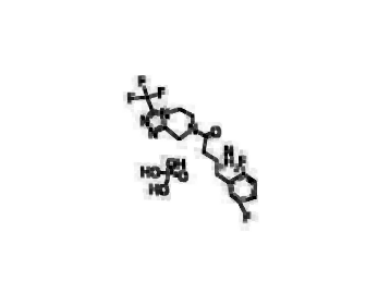 N[C@@H](CC(=O)N1CCn2c(nnc2C(F)(F)F)C1)Cc1cc(F)ccc1F.O=P(O)(O)O